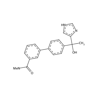 CNC(=O)c1cccc(-c2ccc(C(C)(O)c3c[nH]cn3)cc2)c1